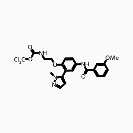 COc1cccc(C(=O)Nc2ccc(OCCNC(=O)OC(Cl)(Cl)Cl)c(-c3ccnn3C)c2)c1